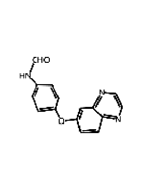 O=CNc1ccc(Oc2ccc3nccnc3c2)cc1